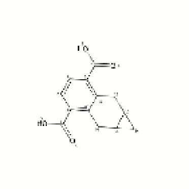 O=C(O)c1ccc(C(=O)O)c2c1CC1CC1C2